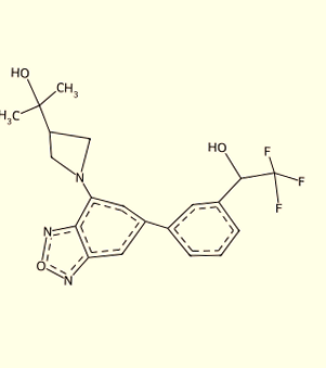 CC(C)(O)C1CN(c2cc(-c3cccc(C(O)C(F)(F)F)c3)cc3nonc23)C1